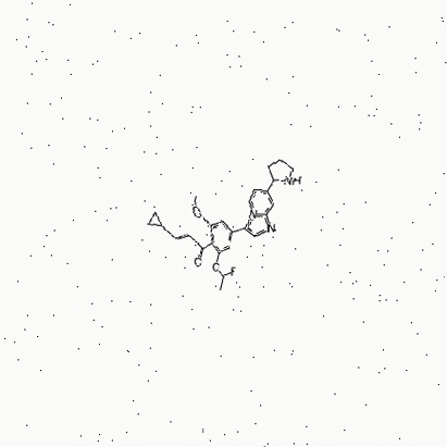 COc1cc(-c2cnc3cc(C4CCCN4)ccn23)cc(OC(C)F)c1C(=O)CCC1CC1